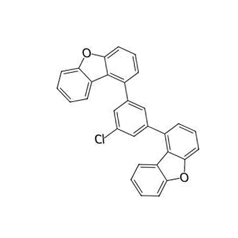 Clc1cc(-c2cccc3oc4ccccc4c23)cc(-c2cccc3oc4ccccc4c23)c1